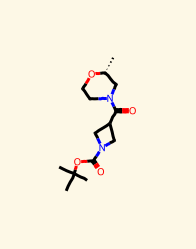 C[C@@H]1CN(C(=O)C2CN(C(=O)OC(C)(C)C)C2)CCO1